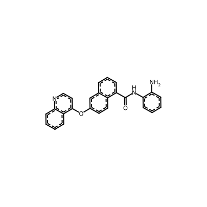 Nc1ccccc1NC(=O)c1cccc2cc(Oc3ccnc4ccccc34)ccc12